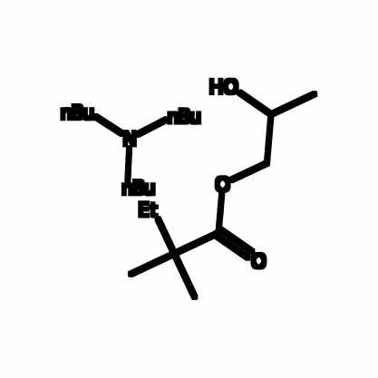 CCC(C)(C)C(=O)OCC(C)O.CCCCN(CCCC)CCCC